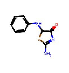 NC1=NC(=O)C(Nc2ccccc2)S1